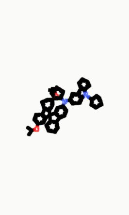 CC(C)Oc1ccc2c(c1)C1(c3ccccc3-c3ccc(N(c4ccccc4)c4ccc5c(c4)c4ccccc4n5-c4ccccc4)cc31)c1cc(OC(C)C)ccc1-2